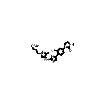 COCCCn1cc(Nc2nc(-c3ccc(N4CCNC4=O)cc3Cl)cs2)c(C)n1